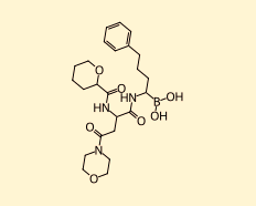 O=C(NC(CCCc1ccccc1)B(O)O)C(CC(=O)N1CCOCC1)NC(=O)C1CCCCO1